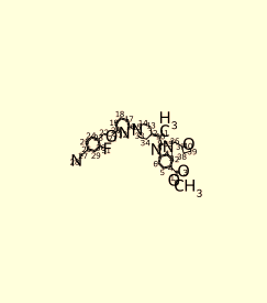 COC(=O)c1ccc2nc(C(C)=C3CCN(c4cccc(OCc5ccc(C#N)cc5F)n4)CC3)n(CC3CCO3)c2c1